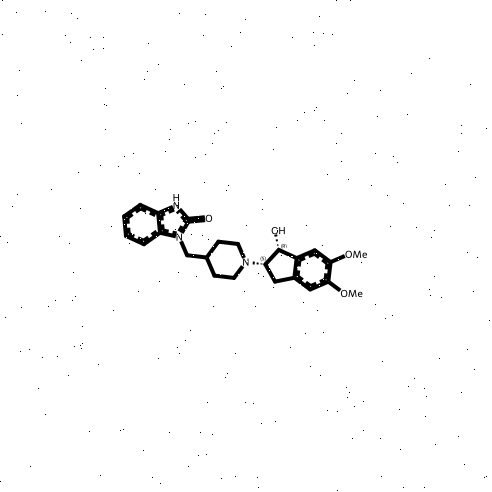 COc1cc2c(cc1OC)[C@@H](O)[C@@H](N1CCC(Cn3c(=O)[nH]c4ccccc43)CC1)C2